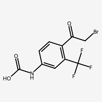 O=C(O)Nc1ccc(C(=O)CBr)c(C(F)(F)F)c1